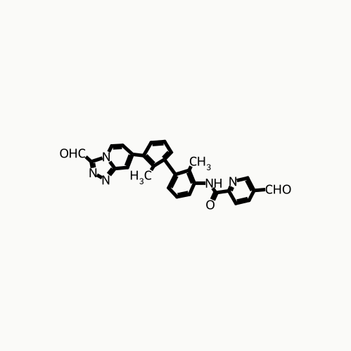 Cc1c(NC(=O)c2ccc(C=O)cn2)cccc1-c1cccc(-c2ccn3c(C=O)nnc3c2)c1C